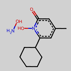 Cc1cc(C2CCCCC2)n(O)c(=O)c1.NO